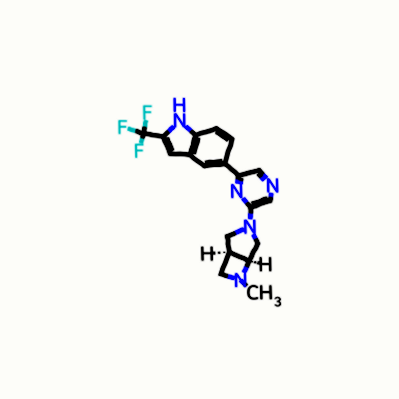 CN1C[C@H]2CN(c3cncc(-c4ccc5[nH]c(C(F)(F)F)cc5c4)n3)C[C@H]21